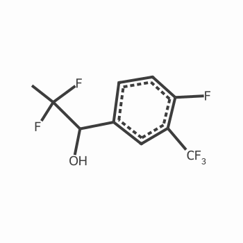 CC(F)(F)C(O)c1ccc(F)c(C(F)(F)F)c1